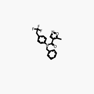 Cc1oncc1C(=O)N(Cc1ccccc1)c1ccc(CC(F)(F)F)cc1